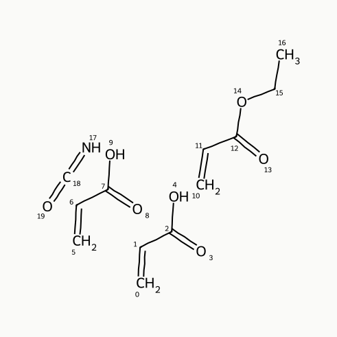 C=CC(=O)O.C=CC(=O)O.C=CC(=O)OCC.N=C=O